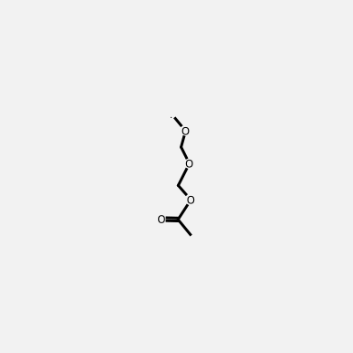 [CH2]OCOCOC(C)=O